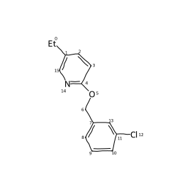 CCc1ccc(OCc2cccc(Cl)c2)nc1